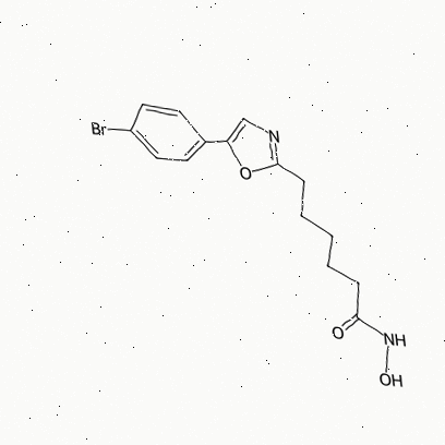 O=C(CCCCCc1ncc(-c2ccc(Br)cc2)o1)NO